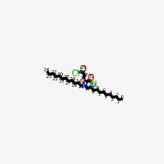 CCCCCCCCCCCCN(CCCCCCCCCCCC)[C@H](CCC(=O)Cl)C(=O)Cl